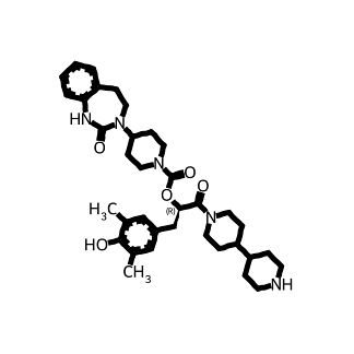 Cc1cc(C[C@@H](OC(=O)N2CCC(N3CCc4ccccc4NC3=O)CC2)C(=O)N2CCC(C3CCNCC3)CC2)cc(C)c1O